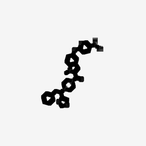 CCNc1ccc(Oc2ccc3c(c2)cc(C(=O)N2CCN(C(Cc4ccccc4)C4=COCO4)CC2)n3C)nc1